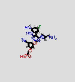 CNc1cc(F)cc2c1[nH]c1nc(Oc3cc(C#N)cc(OCC(=O)O)c3)nc(N3CC(CN)C3)c12